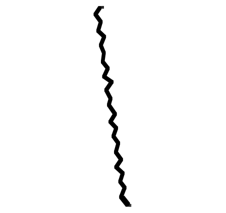 [CH]=CCCCCCCCCCCCCCCCCCCCCCCCC[CH2]